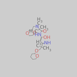 CN(CC1COCCO1)C(C)(C)C(=O)N/C(O)=C/C(=N)C(C)(C)COC1CCCCO1